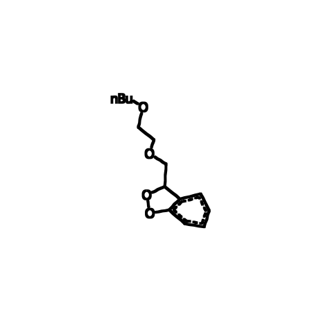 CCCCOCCOCC1OOc2ccccc21